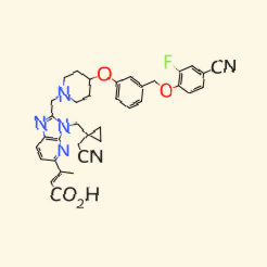 C/C(=C\C(=O)O)c1ccc2nc(CN3CCC(Oc4cccc(COc5ccc(C#N)cc5F)c4)CC3)n(CC3(CC#N)CC3)c2n1